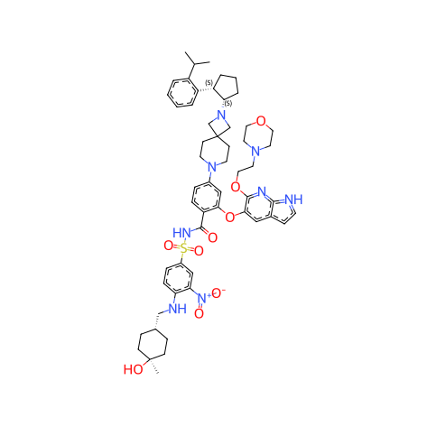 CC(C)c1ccccc1[C@@H]1CCC[C@@H]1N1CC2(CCN(c3ccc(C(=O)NS(=O)(=O)c4ccc(NC[C@H]5CC[C@](C)(O)CC5)c([N+](=O)[O-])c4)c(Oc4cc5cc[nH]c5nc4OCCN4CCOCC4)c3)CC2)C1